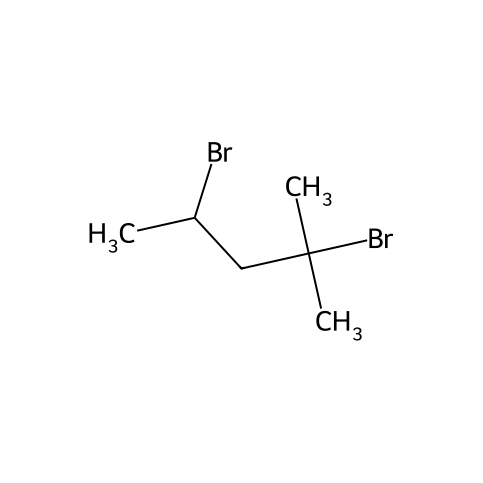 CC(Br)CC(C)(C)Br